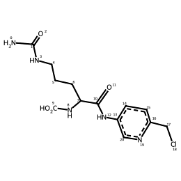 NC(=O)NCCCC(NC(=O)O)C(=O)Nc1ccc(CCl)nc1